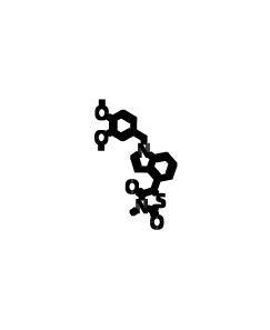 COc1ccc(Cn2ccc3c(C4SC(=O)N(C)C4=O)cccc32)cc1OC